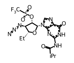 CC[C@H]1O[C@@H](n2cnc3c(=O)[nH]c(NC(=O)C(C)C)nc32)[C@@H](OS(=O)(=O)C(F)(F)F)[C@@H]1N=[N+]=[N-]